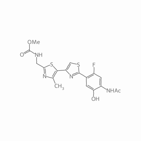 COC(=O)NCc1nc(C)c(-c2csc(-c3cc(O)c(NC(C)=O)cc3F)n2)s1